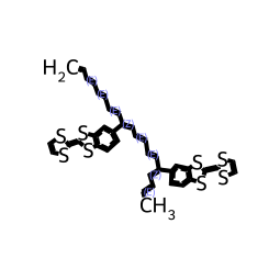 C=C/C=C/C=C/C=C/C(=C/C=C/C=C/C(=C/C=C/C)c1ccc2c(c1)SC(=C1SC=CS1)S2)c1ccc2c(c1)SC(=C1SC=CS1)S2